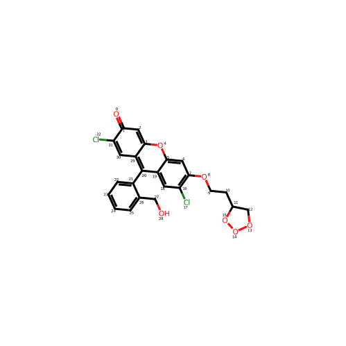 O=c1cc2oc3cc(OCCC4COOO4)c(Cl)cc3c(-c3ccccc3CO)c-2cc1Cl